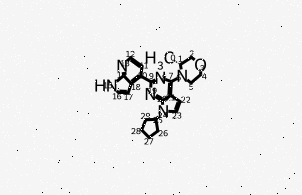 C[C@@H]1COCCN1c1nc(-c2ccnc3[nH]ccc23)nc2c1ccn2C1CCCC1